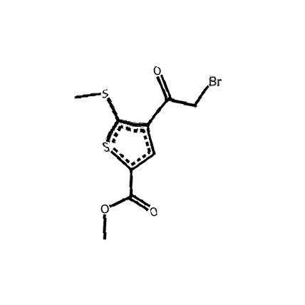 COC(=O)c1cc(C(=O)CBr)c(SC)s1